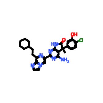 CC1(c2ccc(Cl)c(O)c2)C(=O)Nc2nc(-c3cn4ccnc4c(CCC4CCCCC4)n3)nc(N)c21